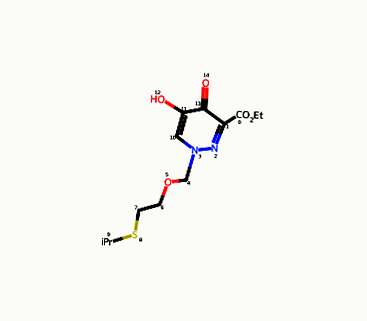 CCOC(=O)c1nn(COCCSC(C)C)cc(O)c1=O